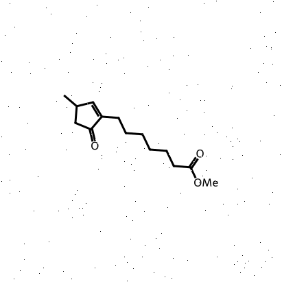 COC(=O)CCCCCCC1=CC(C)CC1=O